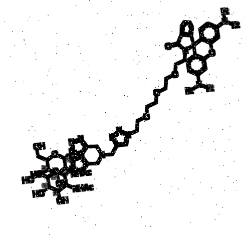 CCN(CC)c1ccc2c(c1)Oc1cc(N(CC)CC)ccc1C21c2ccccc2C(=O)N1CCOCCOCCOCCn1cc(CN(Cc2cn([C@H]3OC(CO)[C@@H](O)[C@H](O)C3NC(C)=O)nn2)Cc2cn([C@H]3OC(CO)[C@H](O)[C@@H](O)C3NC(C)=O)nn2)nn1